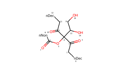 CCCCCCCCCCCC(=O)C(OC(=O)CCCCCCCCC)(C(=O)CCCCCCCCCCC)C(O)CO